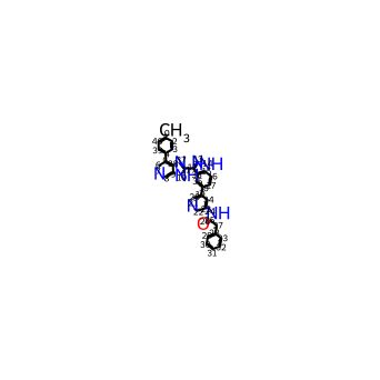 Cc1ccc(-c2cncc3[nH]c(-c4n[nH]c5ccc(-c6cncc(NC(=O)Cc7ccccc7)c6)cc45)nc23)cc1